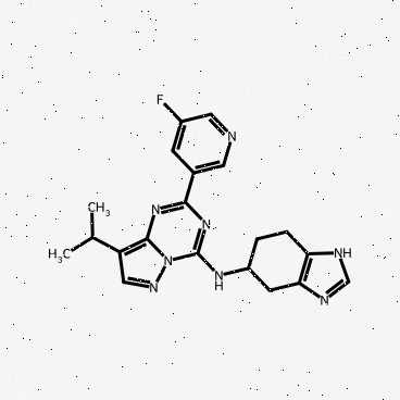 CC(C)c1cnn2c(NC3CCc4[nH]cnc4C3)nc(-c3cncc(F)c3)nc12